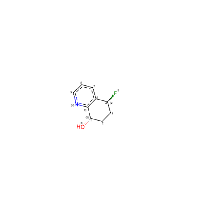 O[C@H]1CC[C@H](F)c2cccnc21